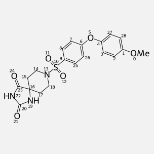 COc1ccc(Oc2ccc(S(=O)(=O)N3CCC4(CC3)NC(=O)NC4=O)cc2)cc1